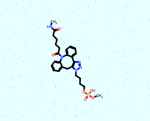 CNC(=O)CCCCC(=O)N1c2ccccc2Cc2c(nnn2CCCCOP(=O)(O)OC)-c2ccccc21